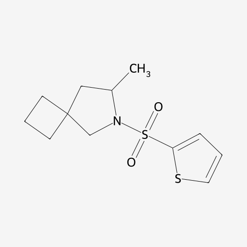 CC1CC2(CCC2)CN1S(=O)(=O)c1cccs1